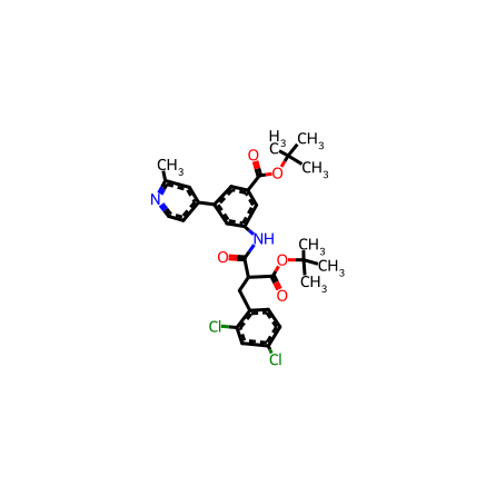 Cc1cc(-c2cc(NC(=O)C(Cc3ccc(Cl)cc3Cl)C(=O)OC(C)(C)C)cc(C(=O)OC(C)(C)C)c2)ccn1